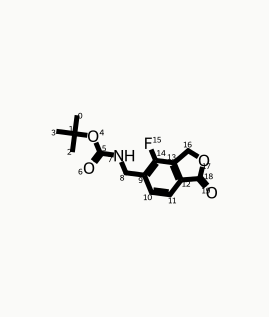 CC(C)(C)OC(=O)NCc1ccc2c(c1F)COC2=O